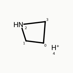 C1CNC1.[H+]